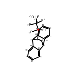 O=S(=O)(O)C(F)(F)C(F)(F)C1CC2c3ccccc3C1c1ccccc12